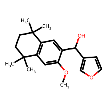 COc1cc2c(cc1C(O)c1ccoc1)C(C)(C)CCC2(C)C